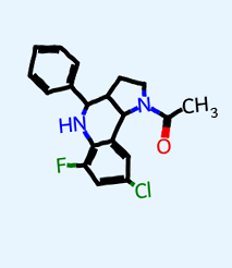 CC(=O)N1CCC2C(c3ccccc3)Nc3c(F)cc(Cl)cc3C21